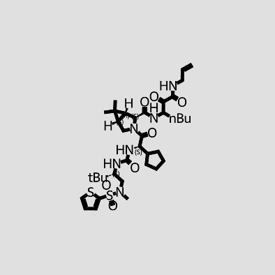 C=CCNC(=O)C(=O)C(CCCC)NC(=O)[C@@H]1[C@@H]2[C@H](CN1C(=O)[C@@H](NC(=O)N[C@H](CN(C)S(=O)(=O)c1cccs1)C(C)(C)C)C1CCCC1)C2(C)C